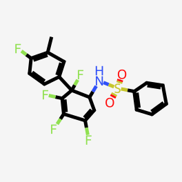 Cc1cc(C2(F)C(F)=C(F)C(F)=CC2NS(=O)(=O)c2ccccc2)ccc1F